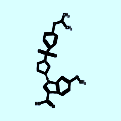 COc1ccc2c(C(=O)O)cn([C@@H]3CCN(S(=O)(=O)c4ccc(OC(C)C)cc4)C3)c2c1